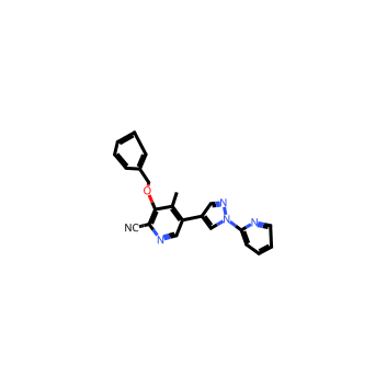 Cc1c(-c2cnn(-c3ccccn3)c2)cnc(C#N)c1OCc1ccccc1